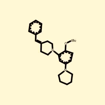 CC(C)(C)Oc1ccc(N2CCCCC2)cc1N1CCC(=Cc2ccccc2)CC1